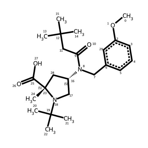 COc1cccc(CN(C(=O)CC(C)(C)C)[C@@H]2CN(C(C)(C)C)[C@](C)(C(=O)O)C2)c1